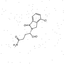 NC(=O)CCC(C=O)N1Cc2c(Cl)cccc2C1=O